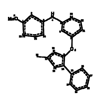 COc1cc(Nc2cc(Oc3sc(C)nc3-c3ccccc3)ccn2)ccn1